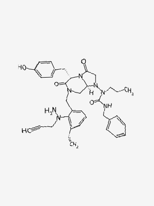 C#CCN(N)c1c(C=C)cccc1CN1C[C@H]2N(C(=O)CN2N(CCC)C(=O)NCc2ccccc2)[C@@H](Cc2ccc(O)cc2)C1=O